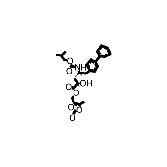 Cc1oc(=O)oc1COC(=O)[C@H](O)C[C@@H](Cc1ccc(-c2ccccc2)cc1)NC(=O)OCC(C)C